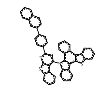 c1ccc2cc(-c3ccc(-c4nc(-n5c6ccccc6c6c7sc8ccccc8c7c7ccccc7c65)c5c(n4)sc4ccccc45)cc3)ccc2c1